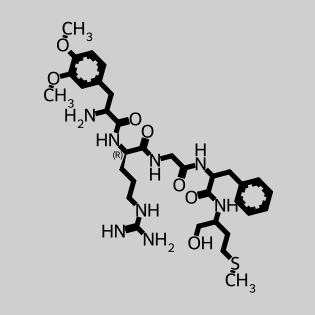 COc1ccc(CC(N)C(=O)N[C@H](CCCNC(=N)N)C(=O)NCC(=O)NC(Cc2ccccc2)C(=O)NC(CO)CCSC)cc1OC